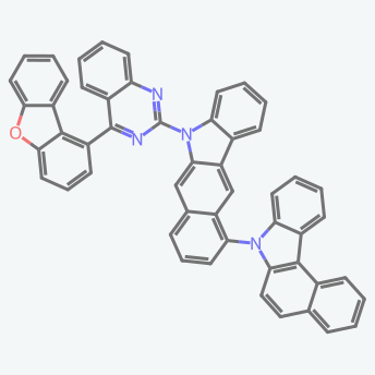 c1cc(-n2c3ccccc3c3c4ccccc4ccc32)c2cc3c4ccccc4n(-c4nc(-c5cccc6oc7ccccc7c56)c5ccccc5n4)c3cc2c1